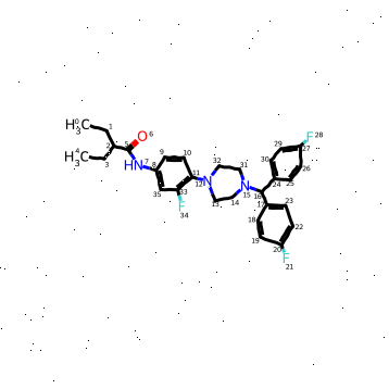 CCC(CC)C(=O)Nc1ccc(N2CCN(C(c3ccc(F)cc3)c3ccc(F)cc3)CC2)c(F)c1